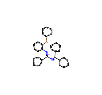 c1ccc(Sc2ccccc2/N=C(/NC(c2ccccc2)c2ccccc2)c2ccccc2)cc1